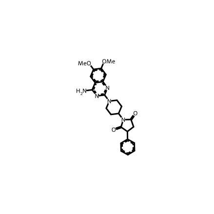 COc1cc2nc(N3CCC(N4C(=O)CC(c5ccccc5)C4=O)CC3)nc(N)c2cc1OC